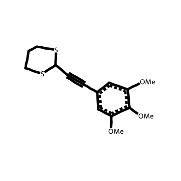 COc1cc(C#CC2SCCCS2)cc(OC)c1OC